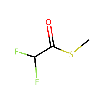 CSC(=O)C(F)F